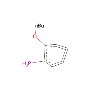 CCCCOc1ccccc1P